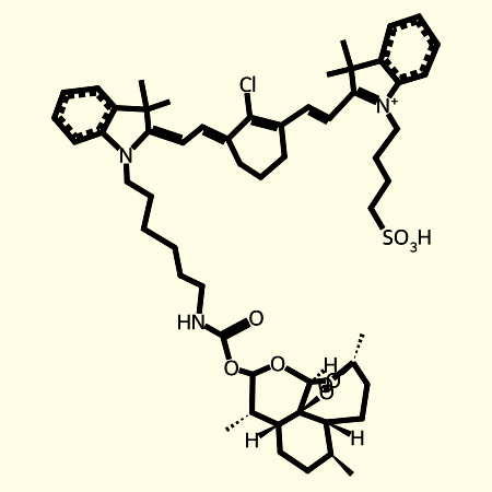 C[C@@H]1C(OC(=O)NCCCCCCN2/C(=C/C=C3\CCCC(/C=C/C4=[N+](CCCCS(=O)(=O)O)c5ccccc5C4(C)C)=C3Cl)C(C)(C)c3ccccc32)O[C@H]2O[C@]3(C)CC[C@@H]4[C@@H](C)CC[C@H]1[C@]24OO3